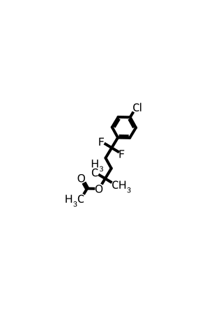 CC(=O)OC(C)(C)CCC(F)(F)c1ccc(Cl)cc1